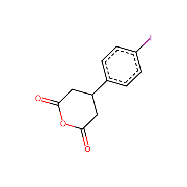 O=C1CC(c2ccc(I)cc2)CC(=O)O1